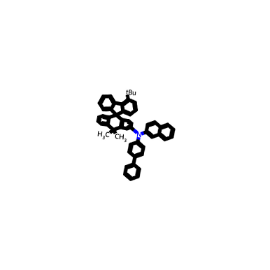 CC(C)(C)c1cccc2c1-c1ccccc1C21c2ccccc2C(C)(C)c2cc(N(c3ccc(-c4ccccc4)cc3)c3ccc4ccccc4c3)ccc21